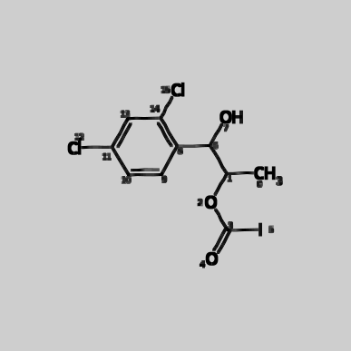 CC(OC(=O)I)C(O)c1ccc(Cl)cc1Cl